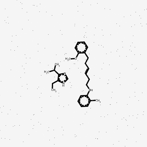 CCc1[nH]cnc1C(C)C.COc1ccccc1CCC=CCCBc1ccccc1C